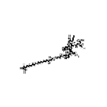 CCCCC(NC(=O)C(CNC(=O)CN(CC(=O)O)CC(=O)O)NC(=O)C(Cc1c[nH]cn1)NC(=O)C(CCC(N)=O)NC(=O)C(CO)NC(=O)CNC(=O)COCCOCCNC(=O)CCCCCCCCCCCCCCCC1=NNNN1)C(=O)NC